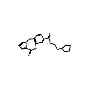 O=C(NCCC1CCCC1)c1ccc2c(c1)NC(=O)c1cccn1S2